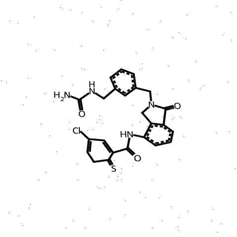 NC(=O)NCc1cccc(CN2Cc3c(NC(=O)C4=CC(Cl)=CCC4=S)cccc3C2=O)c1